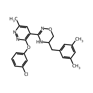 Cc1cc(C)cc(CC2CON=C(c3cc(C)nnc3Oc3cccc(Cl)c3)N2)c1